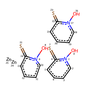 On1ccccc1=S.On1ccccc1=S.On1ccccc1=S.[Zn].[Zn]